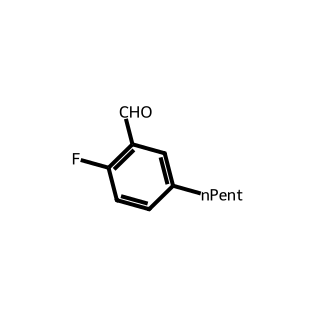 CCCCCc1ccc(F)c(C=O)c1